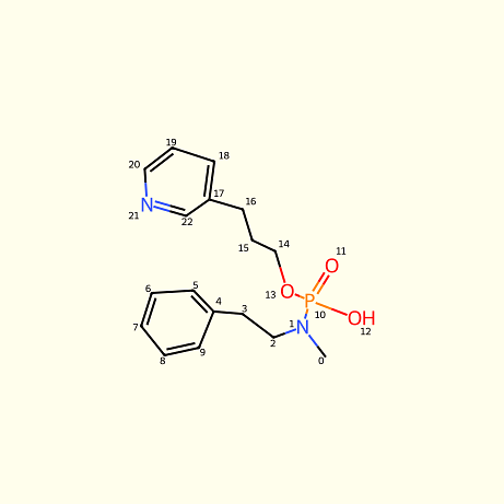 CN(CCc1ccccc1)P(=O)(O)OCCCc1cccnc1